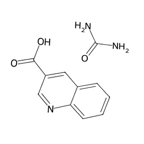 NC(N)=O.O=C(O)c1cnc2ccccc2c1